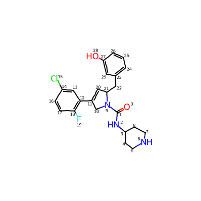 O=C(NC1CCNCC1)N1CC(c2cc(Cl)ccc2F)=CC1Cc1cccc(O)c1